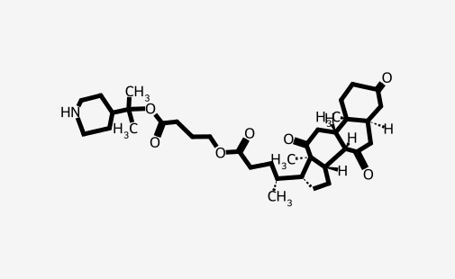 C[C@H](CCC(=O)OCCCC(=O)OC(C)(C)C1CCNCC1)[C@H]1CC[C@H]2[C@@H]3C(=O)C[C@@H]4CC(=O)CC[C@]4(C)[C@H]3CC(=O)[C@]12C